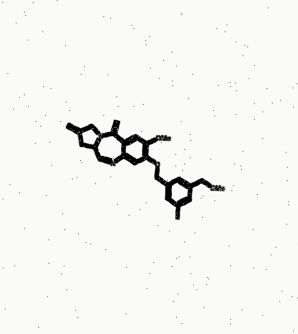 C=C1CC2C=Nc3cc(OCc4cc(C)cc(COC)c4)c(OC)cc3C(=C)N2C1